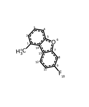 Cc1cccc2oc3cc(F)ccc3c12